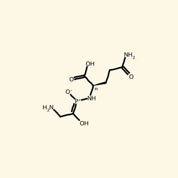 NCC(O)=[P+]([O-])N[C@H](CCC(N)=O)C(=O)O